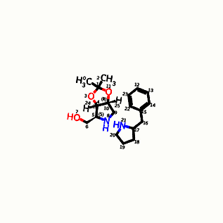 CC1(C)O[C@H]2[C@H](CO)NC[C@H]2O1.c1ccc(CC2CCCN2)cc1